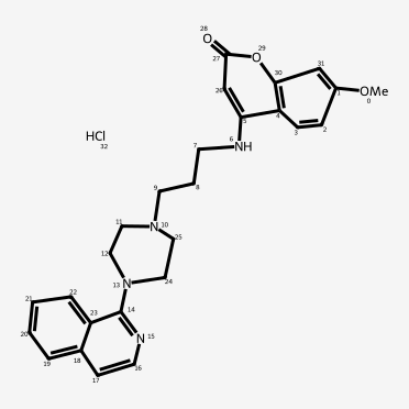 COc1ccc2c(NCCCN3CCN(c4nccc5ccccc45)CC3)cc(=O)oc2c1.Cl